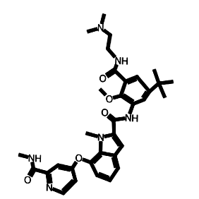 CNC(=O)c1cc(Oc2cccc3cc(C(=O)Nc4cc(C(C)(C)C)cc(C(=O)NCCN(C)C)c4OC)n(C)c23)ccn1